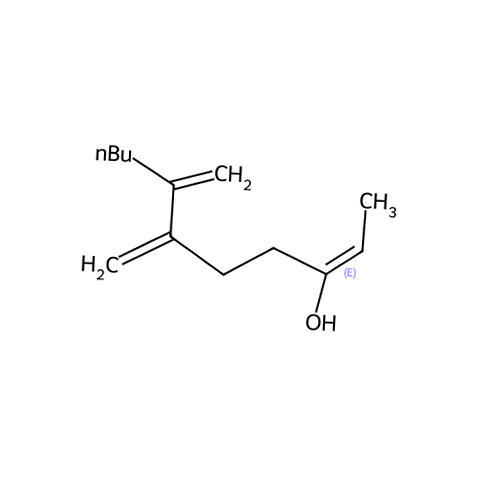 C=C(CCCC)C(=C)CC/C(O)=C\C